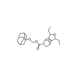 CCC1OC(CC)C2C3OC(CC3C(=O)OCOC34CC5CC(CC(C5)C3)C4)C12